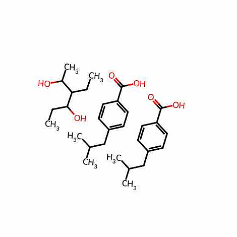 CC(C)Cc1ccc(C(=O)O)cc1.CC(C)Cc1ccc(C(=O)O)cc1.CCC(O)C(CC)C(C)O